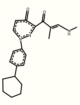 CN/C=C(\C)C(=O)c1nn(-c2ccc(C3CCCCC3)cc2)ccc1=O